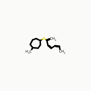 C=C(/C=C\C=C/C)SC1CCCC(C)CC1